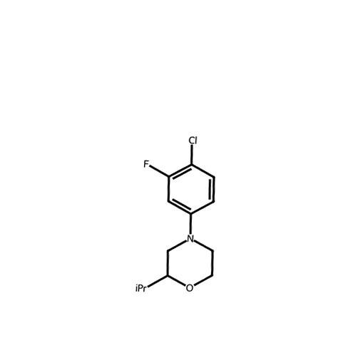 CC(C)C1CN(c2ccc(Cl)c(F)c2)CCO1